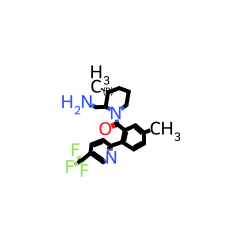 Cc1ccc(-c2ccc(C(F)(F)F)cn2)c(C(=O)N2CCC[C@@H](C)C2CN)c1